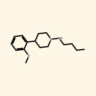 CCCCNN1CCC(c2ccccc2SC)CC1